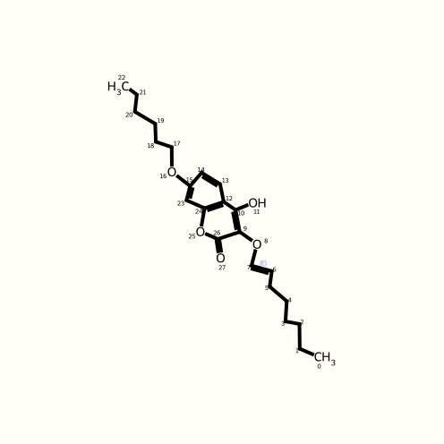 CCCCCC/C=C/Oc1c(O)c2ccc(OCCCCCC)cc2oc1=O